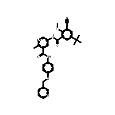 COc1c(C#N)cc(C(C)(C)C)cc1C(=O)Nc1cnc(C)c(C(=O)Nc2ccc(OCc3cccnc3)cc2)c1